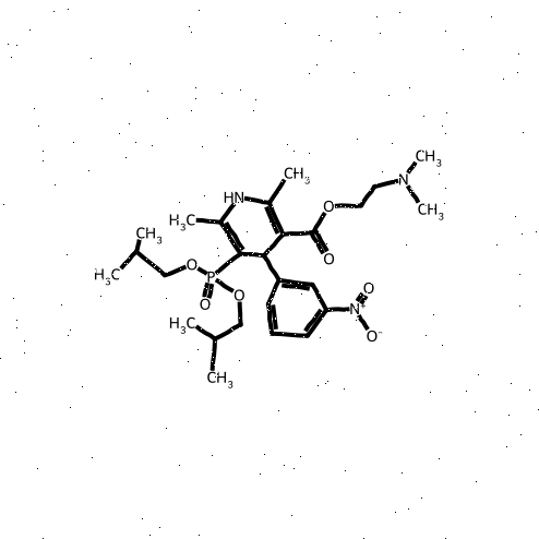 CC1=C(C(=O)OCCN(C)C)C(c2cccc([N+](=O)[O-])c2)C(P(=O)(OCC(C)C)OCC(C)C)=C(C)N1